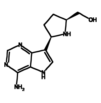 Nc1ncnc2c([C@H]3CC[C@@H](CO)N3)c[nH]c12